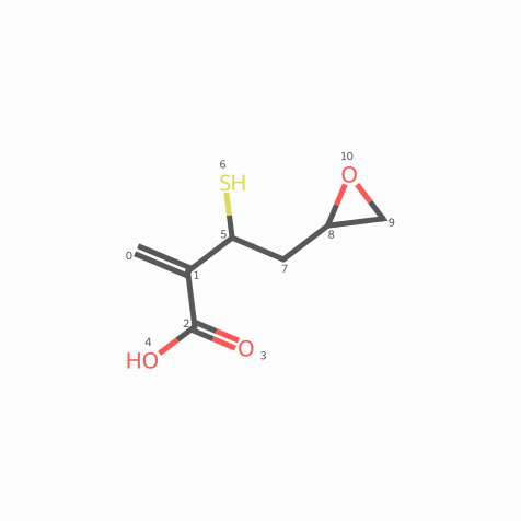 C=C(C(=O)O)C(S)CC1CO1